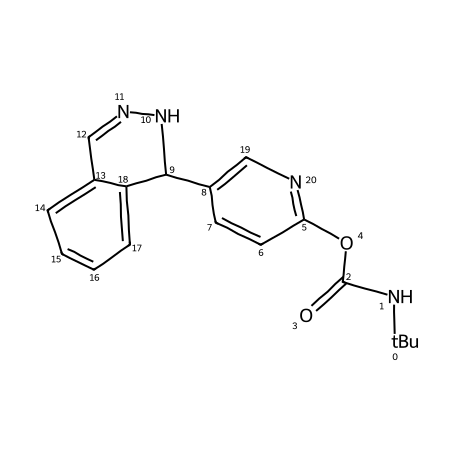 CC(C)(C)NC(=O)Oc1ccc(C2NN=Cc3ccccc32)cn1